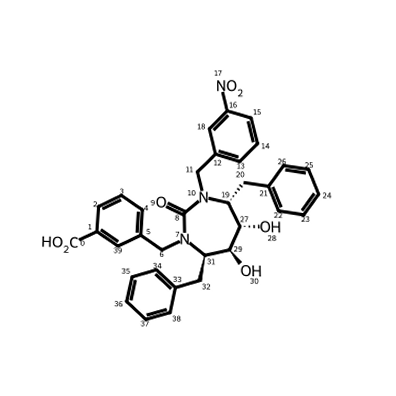 O=C(O)c1cccc(CN2C(=O)N(Cc3cccc([N+](=O)[O-])c3)[C@H](Cc3ccccc3)[C@H](O)[C@@H](O)[C@H]2Cc2ccccc2)c1